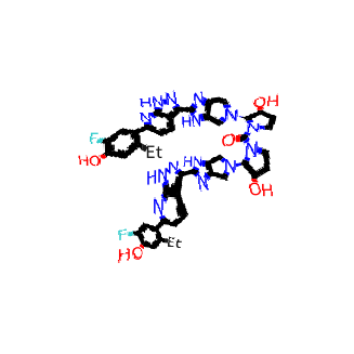 CCc1cc(O)c(F)cc1-c1ccc2c(-c3nc4c([nH]3)CN([C@@H]3C(O)CCN3C(=O)N3CCC(O)[C@H]3N3Cc5nc(-c6n[nH]c7nc(-c8cc(F)c(O)cc8CC)ccc67)[nH]c5C3)C4)n[nH]c2n1